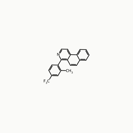 Cc1cc(C(F)(F)F)ccc1-c1nccc2c1ccc1ccccc12